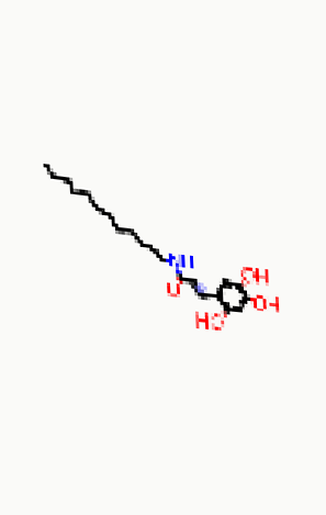 CCCCCCCCCCCCNC(=O)/C=C/c1cc(O)c(O)cc1O